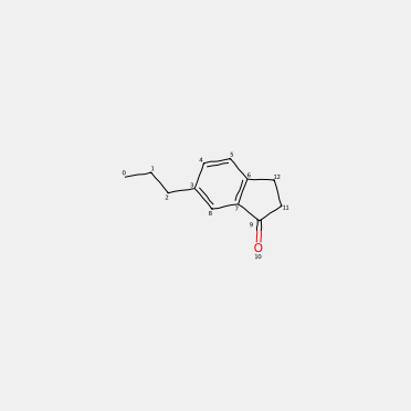 CCCc1ccc2c(c1)C(=O)CC2